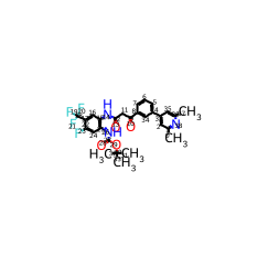 Cc1cc(-c2cccc(C(=O)CC(=O)Nc3cc(C(F)(F)F)c(F)cc3NC(=O)OC(C)(C)C)c2)cc(C)n1